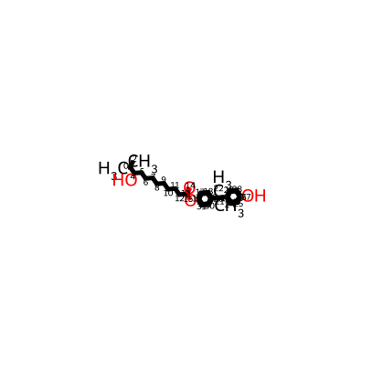 CC(C)C(O)CCCCCCCCC(=O)Oc1ccc(C(C)(C)c2ccc(O)cc2)cc1